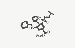 COC(=O)c1cc(NCc2ccccc2)c(-c2cccs2)c(S(=O)(=O)N=CN(C)C)c1